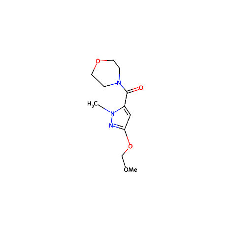 COCOc1cc(C(=O)N2CCOCC2)n(C)n1